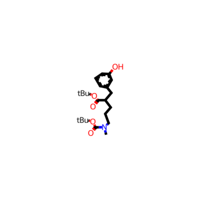 CN(CCCC(Cc1cccc(O)c1)C(=O)OC(C)(C)C)C(=O)OC(C)(C)C